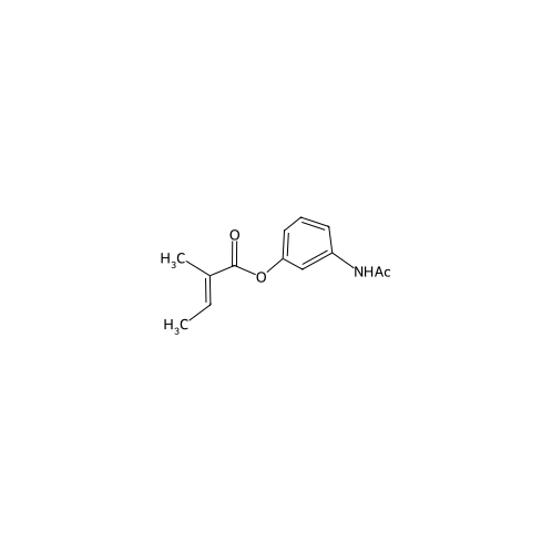 CC=C(C)C(=O)Oc1cccc(NC(C)=O)c1